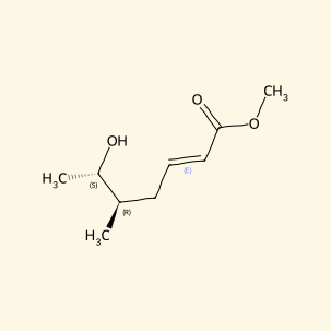 COC(=O)/C=C/C[C@@H](C)[C@H](C)O